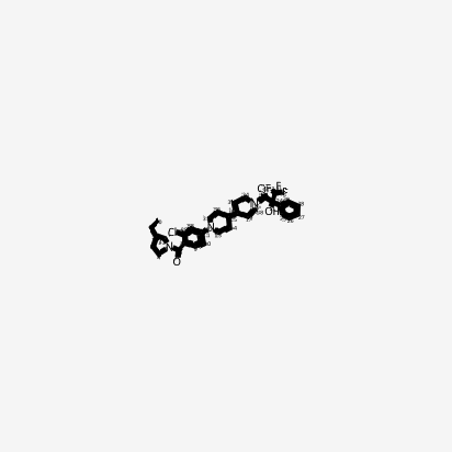 CCC1CCN(C(=O)c2ccc(N3CCC(C4CCN(C(=O)C(O)(c5ccccc5)C(F)(F)F)CC4)CC3)cc2Cl)C1